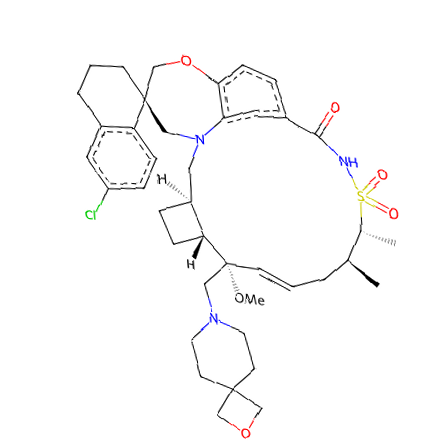 CO[C@@]1(CN2CCC3(CC2)COC3)/C=C/C[C@H](C)[C@@H](C)S(=O)(=O)NC(=O)c2ccc3c(c2)N(C[C@@H]2CC[C@H]21)C[C@@]1(CCCc2cc(Cl)ccc21)CO3